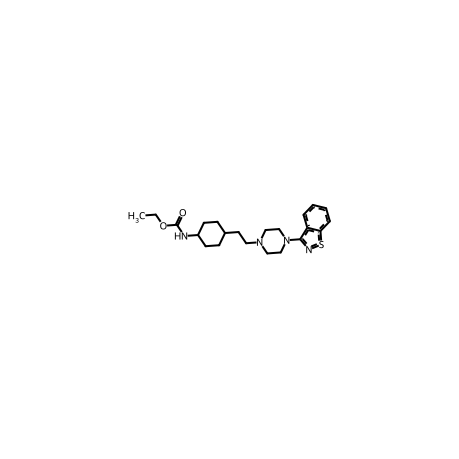 CCOC(=O)NC1CCC(CCN2CCN(c3nsc4ccccc34)CC2)CC1